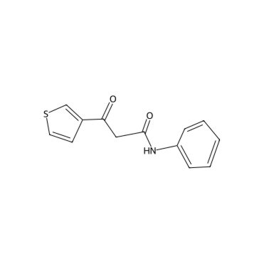 O=C(CC(=O)c1ccsc1)Nc1ccccc1